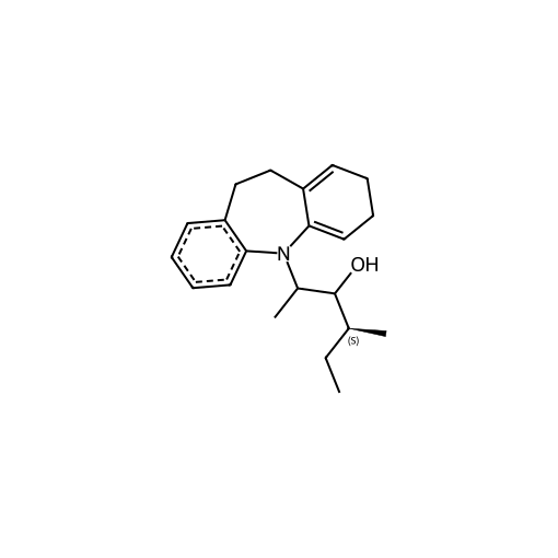 CC[C@H](C)C(O)C(C)N1C2=CCCC=C2CCc2ccccc21